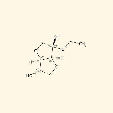 CCO[C@@]1(O)CO[C@@H]2[C@@H](O)CO[C@@H]21